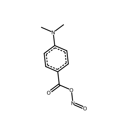 CN(C)c1ccc(C(=O)ON=O)cc1